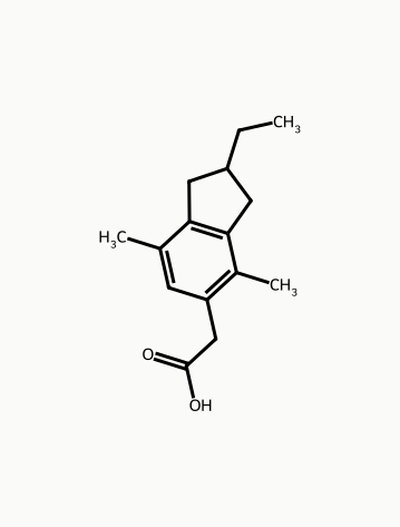 CCC1Cc2c(C)cc(CC(=O)O)c(C)c2C1